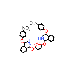 O=C(/C=C\C(=O)OC1NCC(Oc2ccc([N+](=O)[O-])cc2)c2ccccc21)OC1NCC(Oc2ccc([N+](=O)[O-])cc2)c2ccccc21